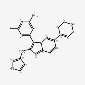 Cc1nc(N)cc(-c2c(Nc3cc[nH]n3)nc3ccc(C4=CCOCC4)nn23)n1